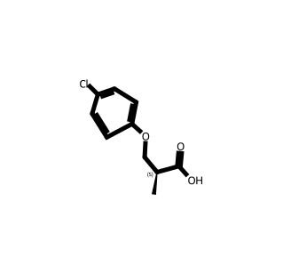 C[C@@H](COc1ccc(Cl)cc1)C(=O)O